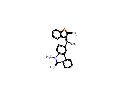 C=C1c2ccccc2-c2cc(/C(C)=c3/c(=C)sc4ccccc34)ccc2N1C